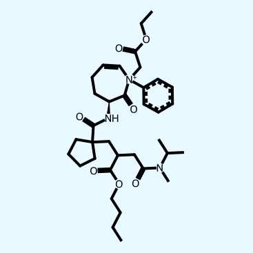 CCCCOC(=O)C(CC(=O)N(C)C(C)C)CC1(C(=O)N[C@H]2CCC=C[N+](CC(=O)OCC)(c3ccccc3)C2=O)CCCC1